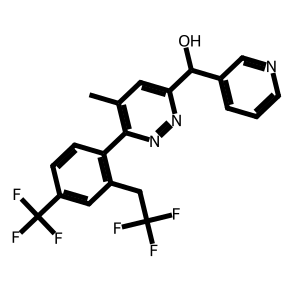 Cc1cc(C(O)c2cccnc2)nnc1-c1ccc(C(F)(F)F)cc1CC(F)(F)F